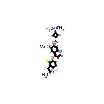 COc1cc2c(Oc3ccc4[nH]c(C)cc4c3F)ccnc2cc1OC[C@H]1C[C@H](N(C)C)C1